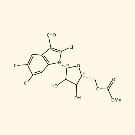 COC(=O)OC[C@H]1O[C@@H](n2c(Cl)c(C=O)c3cc(Cl)c(Cl)cc32)C(O)C1O